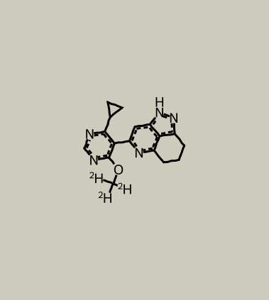 [2H]C([2H])([2H])Oc1ncnc(C2CC2)c1-c1cc2[nH]nc3c2c(n1)CCC3